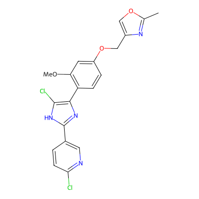 COc1cc(OCc2coc(C)n2)ccc1-c1nc(-c2ccc(Cl)nc2)[nH]c1Cl